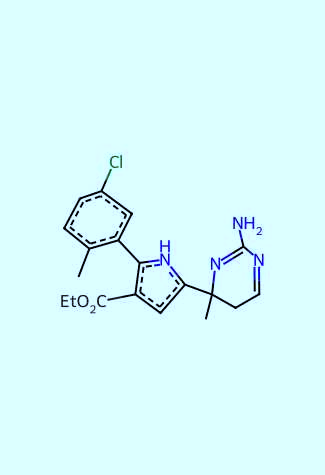 CCOC(=O)c1cc(C2(C)CC=NC(N)=N2)[nH]c1-c1cc(Cl)ccc1C